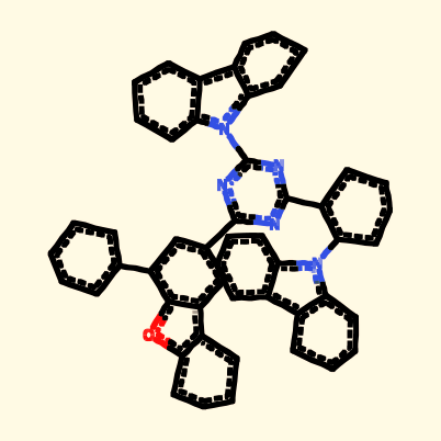 c1ccc(-c2cc(-c3nc(-c4ccccc4-n4c5ccccc5c5ccccc54)nc(-n4c5ccccc5c5ccccc54)n3)cc3c2oc2ccccc23)cc1